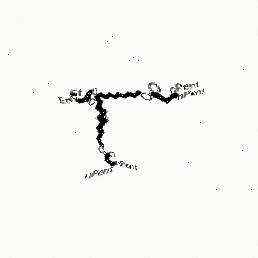 CCCCCC(CCCCC)CC(=O)OCCCCCCCCCC1(CCCCCCCCCOC(=O)CC(CCCCC)CCCCC)OCC(CN(CC)CC)O1